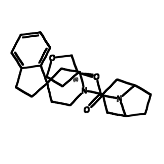 O=C(O[C@H]1CCOC1)N1C2CCC1CC(N1CCC3(CCc4ccccc43)CC1)C2